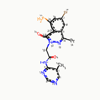 Cc1cncnc1NC(=O)Cn1nc(C(C)C)c2cc(Br)cc(P)c2c1=O